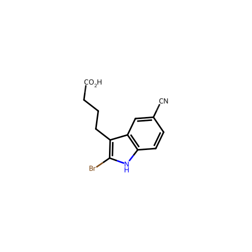 N#Cc1ccc2[nH]c(Br)c(CCCC(=O)O)c2c1